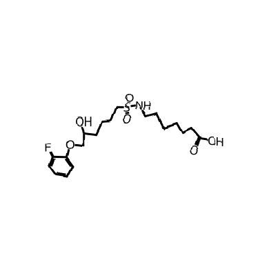 O=C(O)CCCCCCNS(=O)(=O)CCCCC(O)COc1ccccc1F